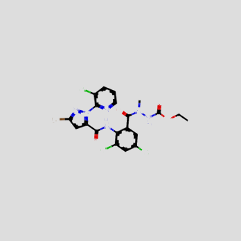 CCOC(=O)NN(C)C(=O)c1cc(Cl)cc(Cl)c1NC(=O)c1cc(Br)nn1-c1ncccc1Cl